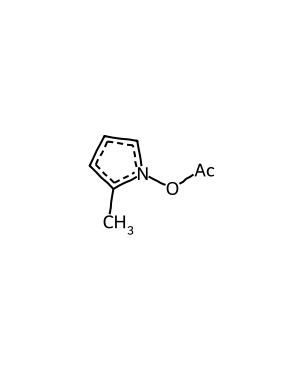 CC(=O)On1cccc1C